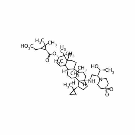 C[C@H](O)[C@H](CN[C@]12CC[C@@H](C3(C)CC3)[C@@H]1[C@H]1CC[C@@H]3[C@@]4(C)CC[C@H](OC(=O)[C@H]5[C@@H](CC(=O)O)C5(C)C)C(C)(C)[C@@H]4CC[C@@]3(C)[C@]1(C)CC2)N1CCS(=O)(=O)CC1